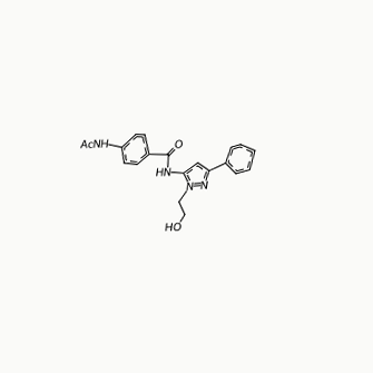 CC(=O)Nc1ccc(C(=O)Nc2cc(-c3ccccc3)nn2CCO)cc1